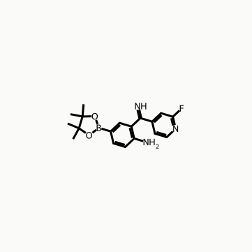 CC1(C)OB(c2ccc(N)c(C(=N)c3ccnc(F)c3)c2)OC1(C)C